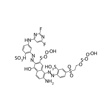 Nc1ccc2c(O)c(/N=N/c3cc(Nc4cc(F)nc(F)n4)ccc3S(=O)(=O)O)c(SOOO)cc2c1/N=N/c1ccc(S(=O)(=O)CCOSOOO)cc1S(=O)(=O)O